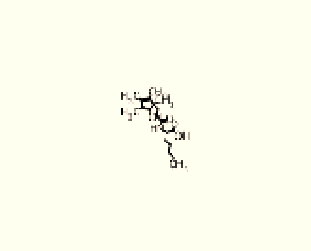 CCCCC[C@H](NC(=O)CCC1(C)C(C)=C(C)C(C)=C1C)C(=O)O